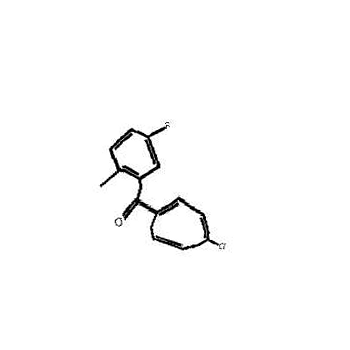 Cc1ccc(F)cc1C(=O)c1ccc(Cl)cc1